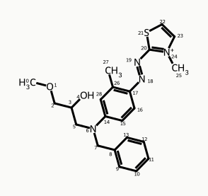 COCC(O)CN(Cc1ccccc1)c1ccc(/N=N/c2scc[n+]2C)c(C)c1